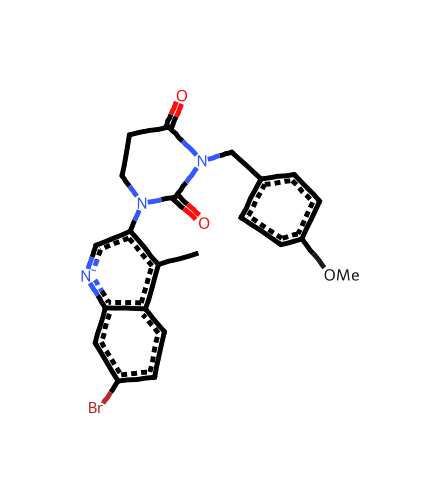 COc1ccc(CN2C(=O)CCN(c3cnc4cc(Br)ccc4c3C)C2=O)cc1